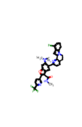 CNC(=O)c1c(-c2ccc(C(F)(F)F)nc2)oc2cc(N(C)C)c(-c3ccc4c(n3)-c3cc5c(F)cccc5n3CC4)cc12